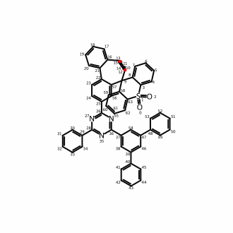 O=S1(=O)c2ccccc2C2(c3ccccc3-c3ccccc3-c3ccc(-c4nc(-c5ccccc5)nc(-c5cc(-c6ccccc6)cc(-c6ccccc6)c5)n4)cc32)c2ccccc21